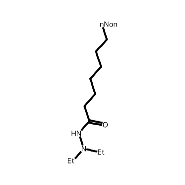 CCCCCCCCCCCCCCCC(=O)NN(CC)CC